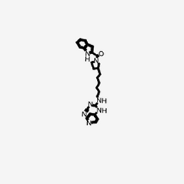 N#CN=C(NCCCCCCC1CCN(C(=O)c2cc3ccccc3[nH]2)C1)Nc1ccncc1